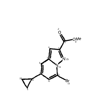 COC(=O)c1cc2cc(C3CC3)cc(Br)n2n1